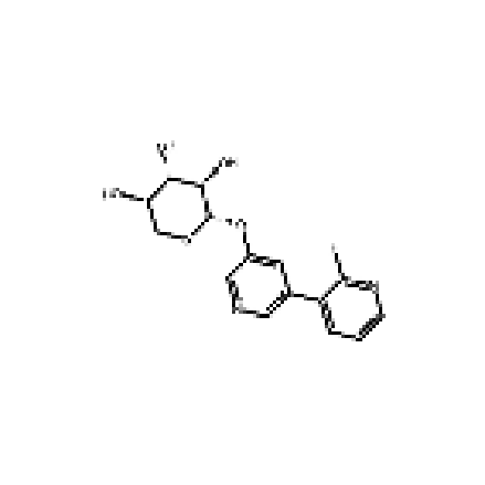 O[C@@H]1[C@@H](O)[C@H](Oc2cncc(-c3cccnc3F)c2)SC[C@H]1O